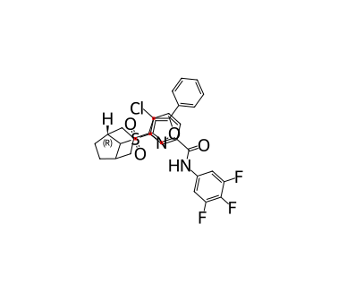 O=C(Nc1cc(F)c(F)c(F)c1)c1ccc(Cl)c(S(=O)(=O)C2C3CC[C@@H]2CC(c2cc(-c4ccccc4)on2)C3)c1